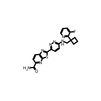 NC(=O)c1ccc2nc(-c3ccc(NCC4(c5ncccc5F)CCC4)nn3)sc2n1